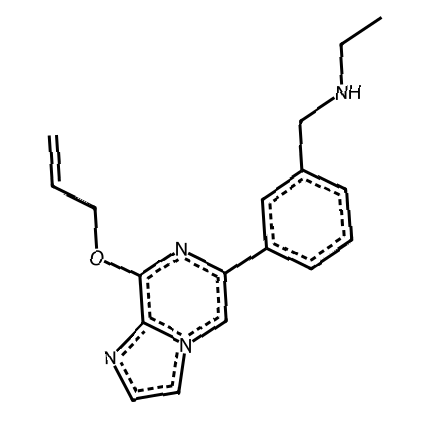 C=CCOc1nc(-c2cccc(CNCC)c2)cn2ccnc12